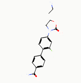 NCC[C@H]1CN(c2ccc(-c3ccc(C(N)=O)cc3)c(F)c2)C(=O)O1